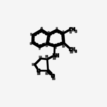 Cc1cc2ccccc2c(NC2CCOC2=O)c1C